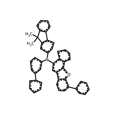 CC1(C)c2ccccc2-c2ccc(N(c3cccc(-c4ccccc4)c3)c3cc4c5cccc(-c6ccccc6)c5oc4c4ccccc34)cc21